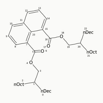 CCCCCCCCCCC(CCCCCCCC)COC(=O)c1cccc2cccc(C(=O)OCC(CCCCCCCC)CCCCCCCCCC)c12